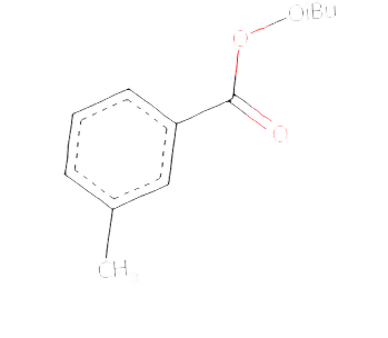 Cc1cccc(C(=O)OO[CH]C(C)C)c1